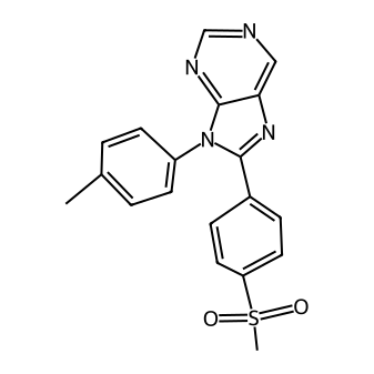 Cc1ccc(-n2c(-c3ccc(S(C)(=O)=O)cc3)nc3cncnc32)cc1